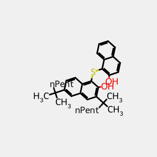 CCCCCC(C)(C)c1ccc2c(Sc3c(O)ccc4ccccc34)c(O)c(C(C)(C)CCCCC)cc2c1